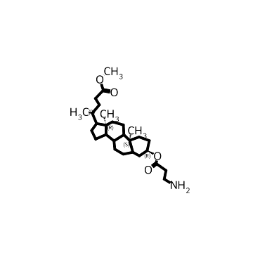 COC(=O)CC[C@@H](C)C1CCC2C3CCC4C[C@H](OC(=O)CCN)CC[C@]4(C)C3CC[C@@]21C